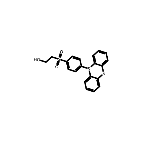 O=S(=O)(CCO)c1ccc([S+]2c3ccccc3Sc3ccccc32)cc1